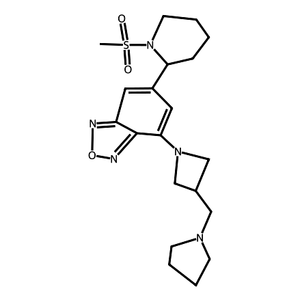 CS(=O)(=O)N1CCCCC1c1cc(N2CC(CN3CCCC3)C2)c2nonc2c1